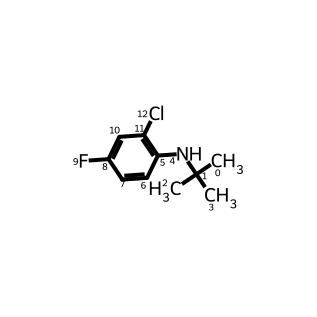 CC(C)(C)Nc1ccc(F)cc1Cl